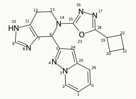 c1ccn2nc(C3c4nc[nH]c4CCN3c3nnc(C4CCC4)o3)cc2c1